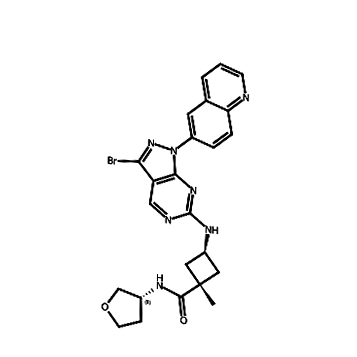 C[C@]1(C(=O)N[C@@H]2CCOC2)C[C@H](Nc2ncc3c(Br)nn(-c4ccc5ncccc5c4)c3n2)C1